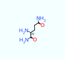 NC(=O)CC[C@H](N)C(N)=O